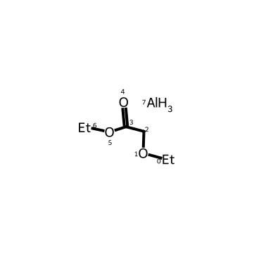 CCOCC(=O)OCC.[AlH3]